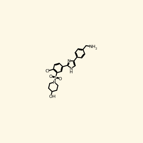 NCc1ccc(-c2c[nH]c(-c3ccc(Cl)c(S(=O)(=O)N4CCC(O)CC4)c3)n2)cc1